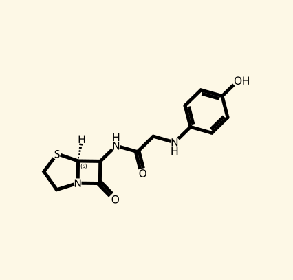 O=C(CNc1ccc(O)cc1)NC1C(=O)N2CCS[C@@H]12